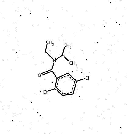 CCN(C(=O)c1cc(Cl)ccc1O)C(C)C